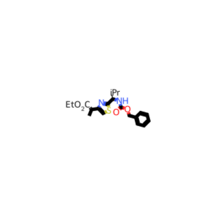 CCOC(=O)C(C)c1csc([C@@H](NC(=O)OCc2ccccc2)C(C)C)n1